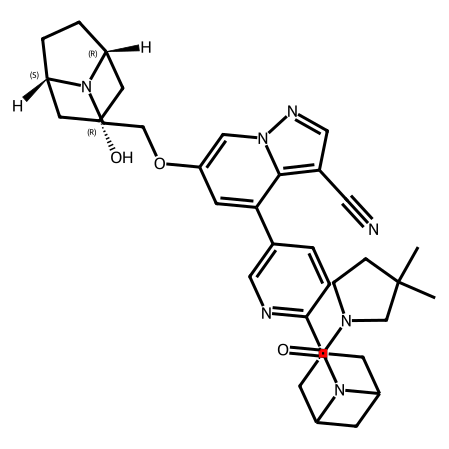 CC1(C)CCN(C(=O)N2C3CC2CN(c2ccc(-c4cc(OCCN5[C@@H]6CC[C@H]5C[C@@H](O)C6)cn5ncc(C#N)c45)cn2)C3)C1